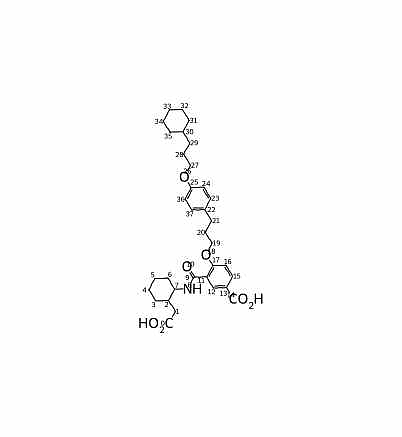 O=C(O)CC1CCCCC1NC(=O)c1cc(C(=O)O)ccc1OCCCc1ccc(OCCCC2CCCCC2)cc1